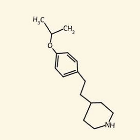 CC(C)Oc1ccc(CCC2CCNCC2)cc1